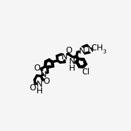 CN1CCN(Cc2c(C(=O)N3CCC(c4ccc5c(c4)CN(C4CCC(=O)NC4=O)C5=O)CC3)[nH]c3cc(Cl)ccc23)CC1